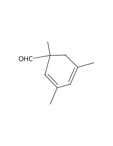 CC1=CC(C)(C=O)CC(C)=C1